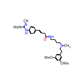 CNC(=NC#N)Nc1ccc(/C=C/CC(=O)NCCCCN(C)CCc2cc(OC)cc(OC)c2)cc1